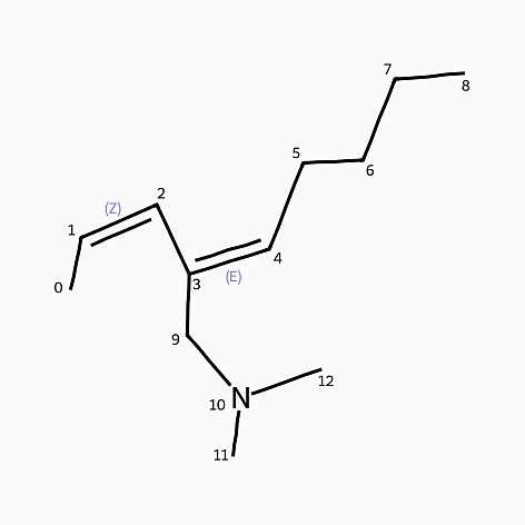 C/C=C\C(=C/CCCC)CN(C)C